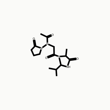 CC(=O)N(CC(=O)N1C(C)C(=O)NC1C(C)C)N1CCCC1=O